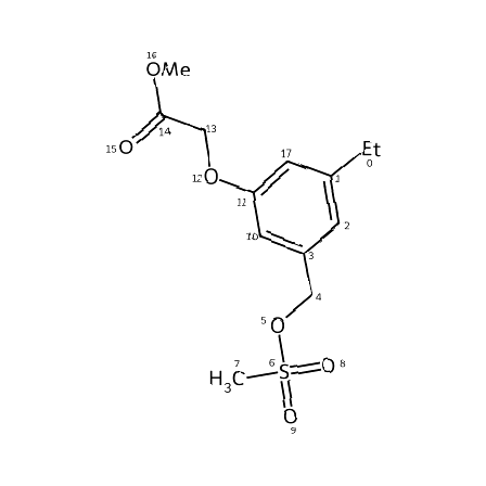 CCc1cc(COS(C)(=O)=O)cc(OCC(=O)OC)c1